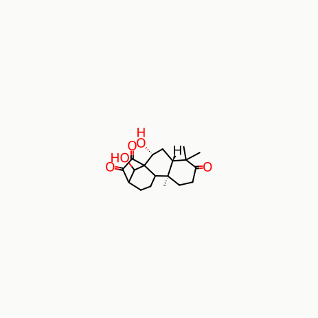 CC1(C)C(=O)CC[C@@]2(C)C3CCC4C(=O)C(=O)C3(C4O)[C@H](O)C[C@H]12